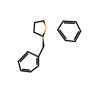 c1ccc(C[C@H]2CCC[P@@]2c2ccccc2)cc1